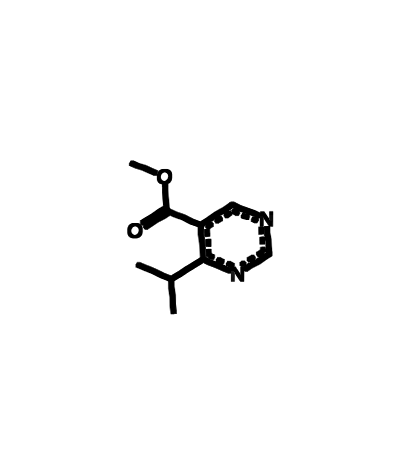 COC(=O)c1cncnc1C(C)C